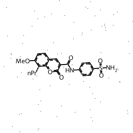 CCCc1c(OC)ccc2cc(C(=O)Nc3ccc(S(N)(=O)=O)cc3)c(=O)oc12